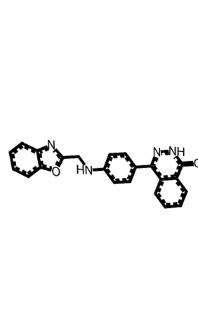 O=c1[nH]nc(-c2ccc(NCc3nc4ccccc4o3)cc2)c2ccccc12